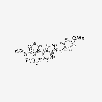 CCOC(=O)c1cnc2c(cnn2Cc2ccc(OC)cc2)c1N1CCO[C@@H](CC#N)C1